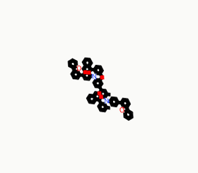 Cc1cc(-c2ccc(N(c3ccc(-c4cccc5c4oc4ccccc45)cc3)c3c(C)cccc3-c3cccc4ccccc34)c(C)c2)ccc1N(c1ccc(-c2cccc3c2oc2ccccc23)cc1)c1c(C)cccc1-c1cccc2ccccc12